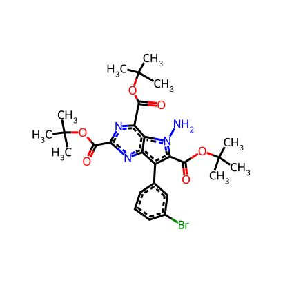 CC(C)(C)OC(=O)c1nc(C(=O)OC(C)(C)C)c2c(n1)c(-c1cccc(Br)c1)c(C(=O)OC(C)(C)C)n2N